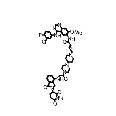 COc1cc2ncnc(Nc3ccc(F)c(Cl)c3)c2cc1NC(=O)/C=C/CN1CCC(N2CCN(C(=O)CNc3cccc4c3CN(C3CCC(=O)NC3=O)C4=O)CC2)CC1